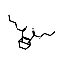 CCCOC(=O)C1C2C=CC(CC2)C1C(=O)OCCC